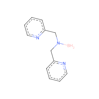 BN(Cc1ccccn1)Cc1ccccn1